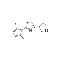 Cc1ccc(C)n1-c1ccn([C@@H]2CCOC2)n1